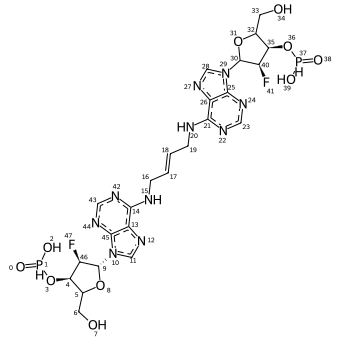 O=[PH](O)O[C@@H]1C(CO)O[C@@H](n2cnc3c(NC/C=C/CNc4ncnc5c4ncn5C4OC(CO)[C@@H](O[PH](=O)O)[C@H]4F)ncnc32)[C@@H]1F